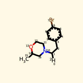 [2H]C(Cc1ccc(Br)cc1)N1CCOC(C)C1